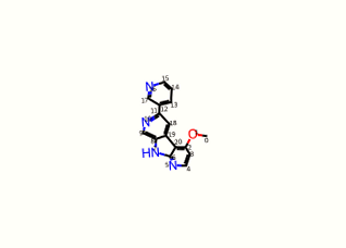 COc1ccnc2[nH]c3cnc(-c4cccnc4)cc3c12